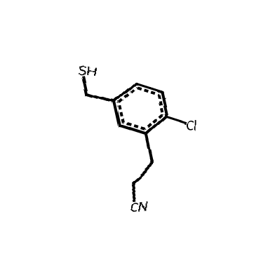 N#CCCc1cc(CS)ccc1Cl